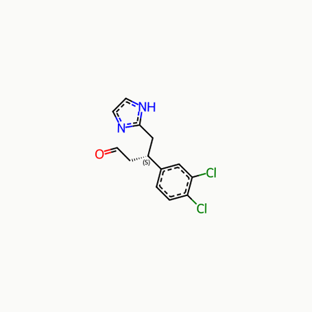 O=CC[C@H](Cc1ncc[nH]1)c1ccc(Cl)c(Cl)c1